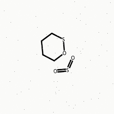 C1CCSOC1.O=S=O